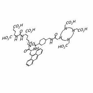 O=C(O)CC[C@H](NC(=O)N[C@@H](CCCCNC(=O)[C@H](Cc1c2ccccc2cc2ccccc12)NC(=O)C1CCC(CNC(=O)CN2CCN(CC(=O)O)CCN(CC(=O)O)CCN(CC(=O)O)CC2)CC1)C(=O)O)C(=O)O